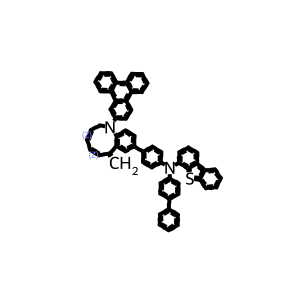 C=C1/C=C\C=C/CN(c2ccc3c4ccccc4c4ccccc4c3c2)c2ccc(-c3ccc(N(c4ccc(-c5ccccc5)cc4)c4cccc5c4sc4ccccc45)cc3)cc21